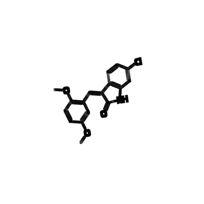 COc1ccc(OC)c(C=C2C(=O)Nc3cc(Cl)ccc32)c1